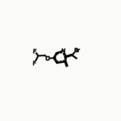 C=c1cc(OCC(F)F)cn/c1=C(/C)Br